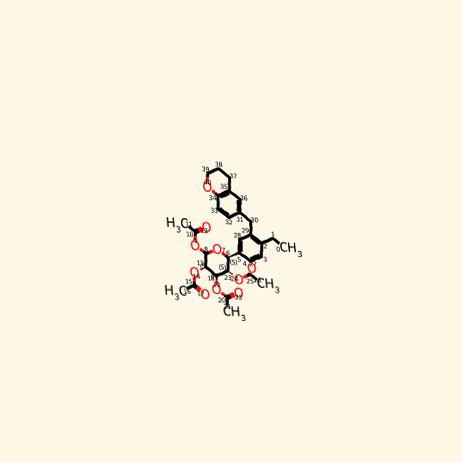 CCc1ccc([C@@H]2OC(OC(C)=O)[C@@H](OC(C)=O)[C@H](OC(C)=O)[C@H]2OC(C)=O)cc1Cc1ccc2c(c1)CCCO2